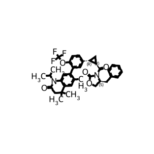 Cc1cc2c(cc1-c1cc([C@@H]3C[C@H]3C(=O)N3C(=O)OC[C@@H]3Cc3ccccc3)ccc1OC(F)(F)F)N(C(C)C)C(=O)CC2(C)C